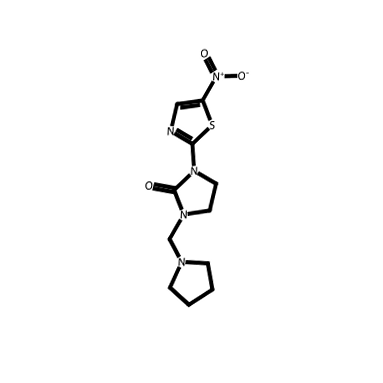 O=C1N(CN2CCCC2)CCN1c1ncc([N+](=O)[O-])s1